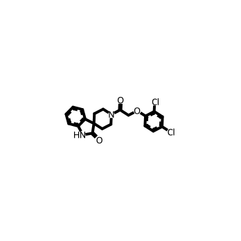 O=C(COc1ccc(Cl)cc1Cl)N1CCC2(CC1)C(=O)Nc1ccccc12